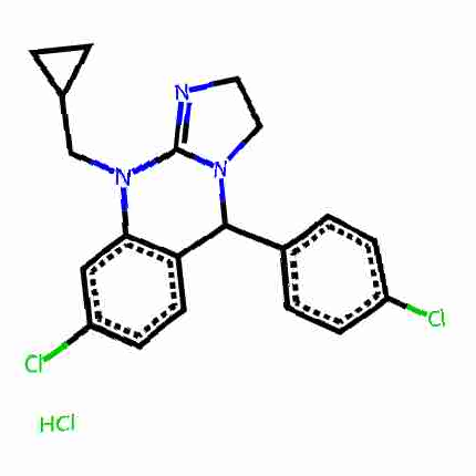 Cl.Clc1ccc(C2c3ccc(Cl)cc3N(CC3CC3)C3=NCCN32)cc1